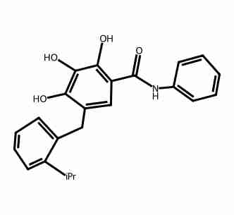 CC(C)c1ccccc1Cc1cc(C(=O)Nc2ccccc2)c(O)c(O)c1O